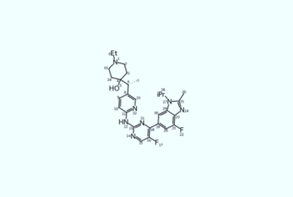 CCN1CCC(O)([C@H](C)c2ccc(Nc3ncc(F)c(-c4cc(F)c5nc(C)n(C(C)C)c5c4)n3)nc2)CC1